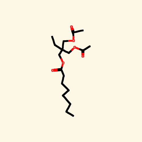 CCCCCCCC(=O)OCC(CC)(COC(C)=O)COC(C)=O